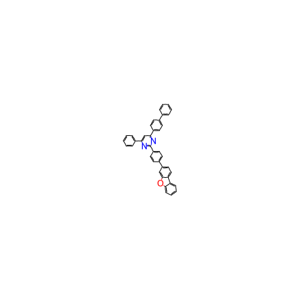 c1ccc(-c2ccc(-c3cc(-c4ccccc4)nc(-c4ccc(-c5ccc6c(c5)oc5ccccc56)cc4)n3)cc2)cc1